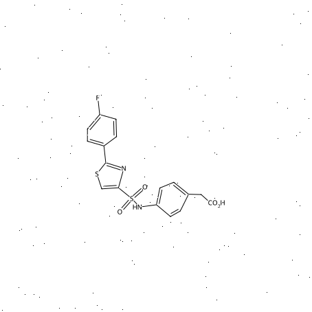 O=C(O)Cc1ccc(NS(=O)(=O)c2csc(-c3ccc(F)cc3)n2)cc1